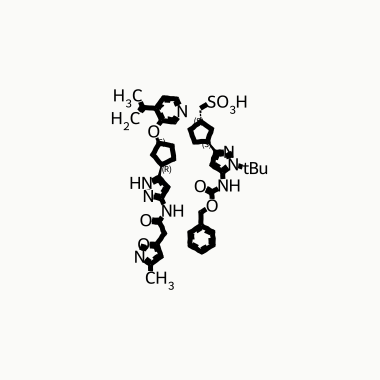 C=C(C)c1ccncc1O[C@H]1CC[C@@H](c2cc(NC(=O)Cc3cc(C)no3)n[nH]2)C1.CC(C)(C)n1nc([C@H]2CC[C@H](CS(=O)(=O)O)C2)cc1NC(=O)OCc1ccccc1